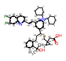 C1CCC(NC2CCCCC2)CC1.CC(C)(O)c1ccccc1CCC(SCC1(CC(=O)O)CC1)c1cccc(/C=C/c2ccc3cc(F)c(F)cc3n2)c1